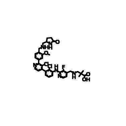 COc1cc(-c2nccc(-c3cccc(Nc4nccc(CNCC(C)(C)C(=O)O)c4F)c3Cl)c2Cl)ccc1CNCC1CCC(=O)N1